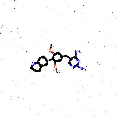 CCOc1cc(Cc2cnc(N)nc2N)cc(OCC)c1-c1ccc2ncccc2c1